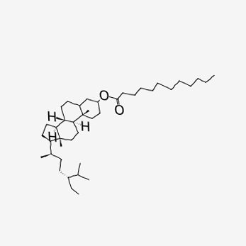 CCCCCCCCCCCC(=O)OC1CC[C@@]2(C)C(CC[C@H]3[C@@H]4CC[C@H]([C@H](C)CC[C@@H](CC)C(C)C)[C@@]4(C)CC[C@@H]32)C1